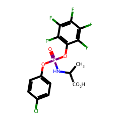 CC(NP(=O)(Oc1ccc(Cl)cc1)Oc1c(F)c(F)c(F)c(F)c1F)C(=O)O